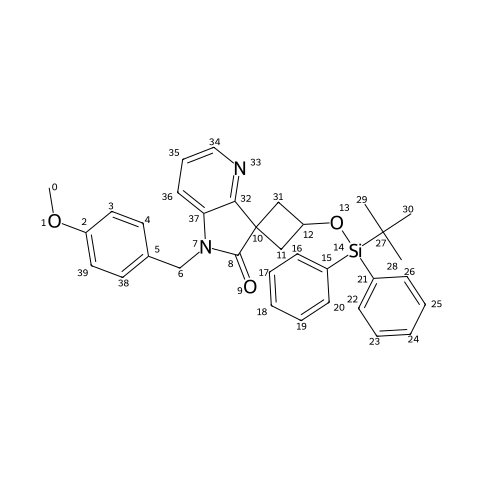 COc1ccc(CN2C(=O)C3(CC(O[Si](c4ccccc4)(c4ccccc4)C(C)(C)C)C3)c3ncccc32)cc1